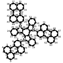 c1cc2cccc3c4ccc(-n5c6ccccc6c6c5c5c7ccccc7n(-c7ccc8c9cccc%10cccc(c%11cccc7c%118)c%109)c5c5c7ccccc7n(-c7ccc8c9cccc%10cccc(c%11cccc7c%118)c%109)c65)c5cccc(c(c1)c23)c54